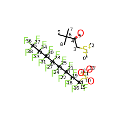 C[S+](C)CC(=O)C(C)(C)C.O=S(=O)([O-])C(F)(F)C(F)(F)C(F)(F)C(F)(F)C(F)(F)C(F)(F)C(F)(F)C(F)(F)F